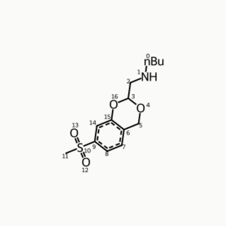 CCCCNCC1OCc2ccc(S(C)(=O)=O)cc2O1